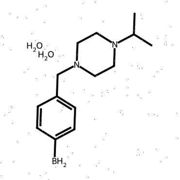 Bc1ccc(CN2CCN(C(C)C)CC2)cc1.O.O